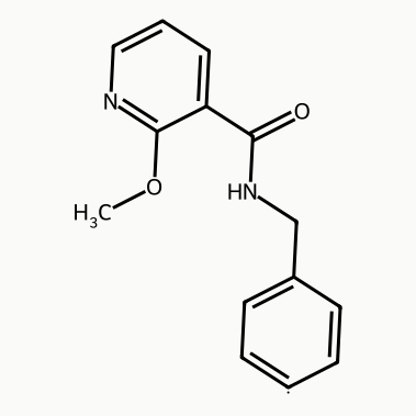 COc1ncccc1C(=O)NCc1cc[c]cc1